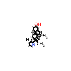 CC1=C(c2ccccn2)[C@@]2(C)CC[C@H]3[C@@H]([C@@H](C)C=C4C[C@@H](O)CC[C@@]43C)[C@@H]2C1